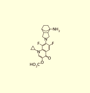 NC12CCC(CC1)C1CN(c3c(F)cc4c(=O)c(OC(=O)O)cn(C5CC5)c4c3F)CC12